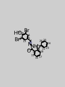 O=C(N/N=C/c1cc(Br)c(O)c(Br)c1)c1ccccc1Oc1ccccc1